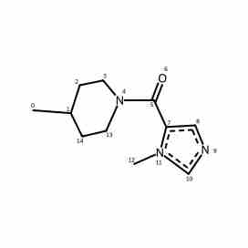 CC1CCN(C(=O)c2cncn2C)CC1